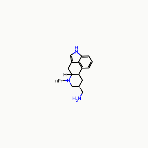 CCCN1C[C@H](CN)CC2c3cccc4[nH]cc(c34)C[C@H]21